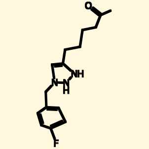 CC(=O)CCCCC1=CN(Cc2ccc(F)cc2)NN1